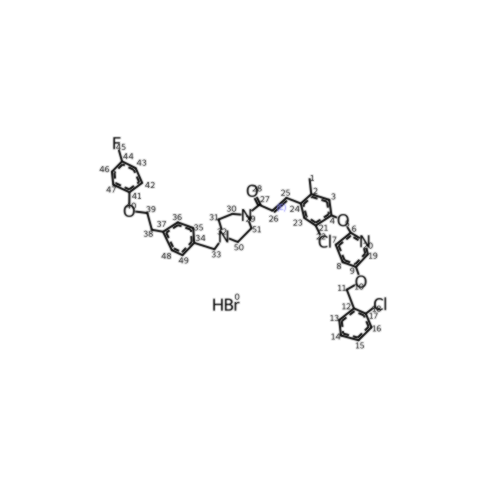 Br.Cc1cc(Oc2ccc(OCc3ccccc3Cl)cn2)c(Cl)cc1/C=C/C(=O)N1CCN(Cc2ccc(CCOc3ccc(F)cc3)cc2)CC1